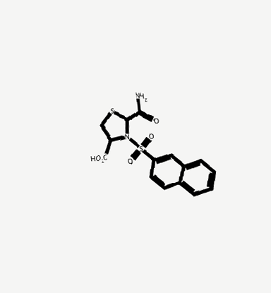 NC(=O)C1SCC(C(=O)O)N1S(=O)(=O)c1ccc2ccccc2c1